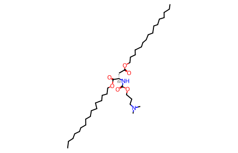 CCCCCCCCCCCCCCCCOC(=O)C[C@H](NC(=O)OCCCN(C)C)C(=O)OCCCCCCCCCCCCCCCC